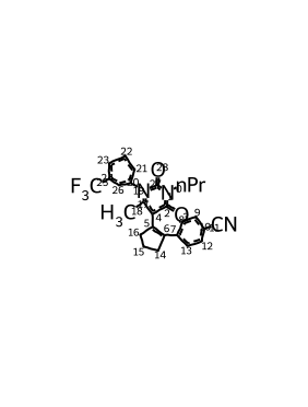 CCCn1c(=O)c(C2=C(c3ccc(C#N)cc3)CCC2)c(C)n(-c2cccc(C(F)(F)F)c2)c1=O